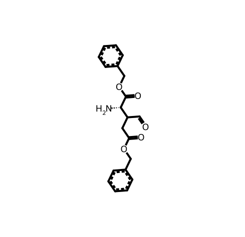 N[C@H](C(=O)OCc1ccccc1)C(C=O)CC(=O)OCc1ccccc1